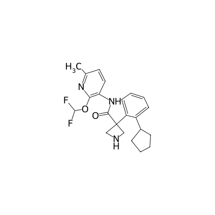 Cc1ccc(NC(=O)C2(c3ccccc3C3CCCC3)CNC2)c(OC(F)F)n1